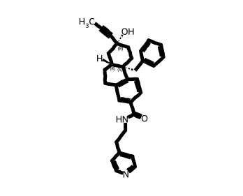 CC#C[C@@]1(O)CC[C@@]2(Cc3ccccc3)c3ccc(C(=O)NCCc4ccncc4)cc3CC[C@@H]2C1